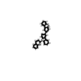 c1ccc2nc(-n3c4ccccc4c4cc(-c5ccc6sc7ccccc7c6c5)ccc43)ccc2c1